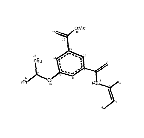 C=C(B/C(C)=C\C)c1cc(OC(CCC)CCCC)cc(C(=C)OC)c1